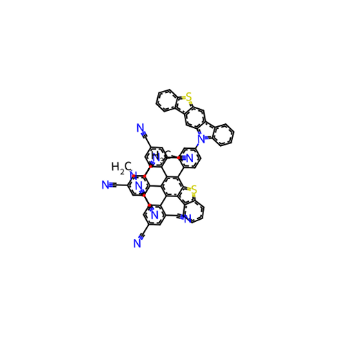 C=NCc1cc(C#N)cc(C#N)c1-c1c(-c2c(C#N)cc(C#N)cc2C#N)c(-c2c(C#N)cc(C#N)cc2C#N)c2c(sc3ccccc32)c1-c1ccc(-n2c3ccccc3c3cc4sc5ccccc5c4cc32)cc1C